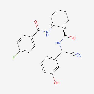 N#CC(NC(=O)[C@@H]1CCCC[C@H]1NC(=O)c1ccc(F)cc1)c1cccc(O)c1